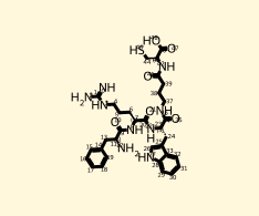 N=C(N)NCCC[C@H](NC(=O)[C@@H](N)Cc1ccccc1)C(=O)N[C@@H](Cc1c[nH]c2ccccc12)C(=O)NCCCC(=O)N[C@@H](CS)C(=O)O